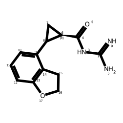 N=C(N)NC(=O)[C@@H]1CC1c1cccc2c1CCO2